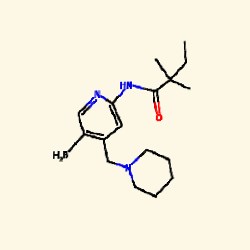 Bc1cnc(NC(=O)C(C)(C)CC)cc1CN1CCCCC1